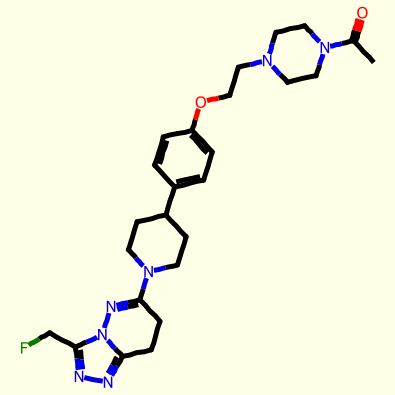 CC(=O)N1CCN(CCOc2ccc(C3CCN(C4=Nn5c(CF)nnc5CC4)CC3)cc2)CC1